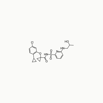 CC(O)CNc1cccc(S(=O)(=O)NC(=O)C2(Oc3cc(Cl)ccc3C3CC3)CC2)n1